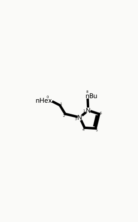 CCCCCCCCN1CC=CN1CCCC